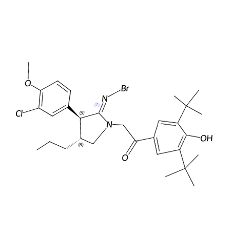 CCC[C@H]1CN(CC(=O)c2cc(C(C)(C)C)c(O)c(C(C)(C)C)c2)/C(=N\Br)[C@@H]1c1ccc(OC)c(Cl)c1